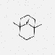 CP1C2(C)CCCC1(C)CCC2